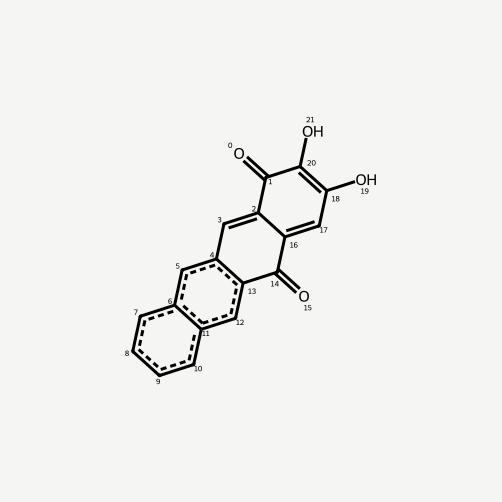 O=C1C2=Cc3cc4ccccc4cc3C(=O)C2=CC(O)=C1O